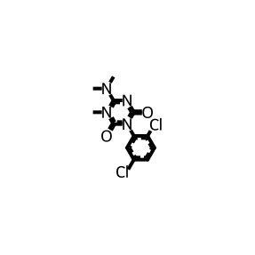 CN(C)c1nc(=O)n(-c2cc(Cl)ccc2Cl)c(=O)n1C